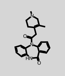 CC1=C(CC(=O)N2c3ccccc3NC(=O)c3ccccc32)CCN(C)C1